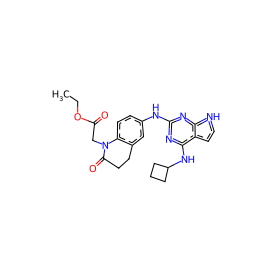 CCOC(=O)CN1C(=O)CCc2cc(Nc3nc(NC4CCC4)c4cc[nH]c4n3)ccc21